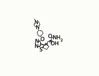 CN1CCN(C2CCC(Oc3ncnc4sc5c(c34)[C@@H](C[C@@H](O)C(N)=O)CC5)CC2)CC1